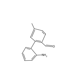 Cc1ccc(C=O)c(-c2ccccc2N)c1